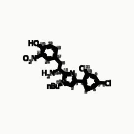 CCCCn1cc(-c2ccc(Cl)cc2Cl)nc1[C@@H](N)Cc1ccc(O)c([N+](=O)[O-])c1